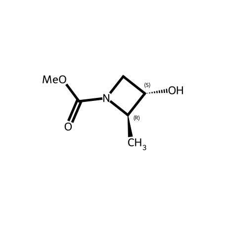 COC(=O)N1C[C@H](O)[C@H]1C